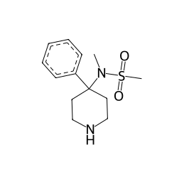 CN(C1(c2ccccc2)CCNCC1)S(C)(=O)=O